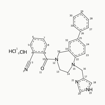 Cl.Cl.N#Cc1ccccc1C(=O)N1CCN(Cc2c[nH]cn2)c2ccc(-c3ccccc3)cc2C1